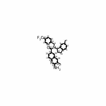 Cc1ccc2c(c1)C(N(Cc1ccc(C(F)(F)F)cn1)C(=O)c1ccc3nc(N)c(C)cc3c1)CC2